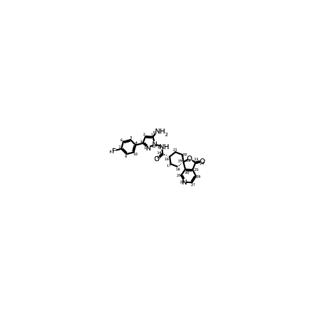 Nc1cc(-c2ccc(F)cc2)nn1NC(=O)[C@H]1CC[C@]2(CC1)OC(=O)c1ccncc12